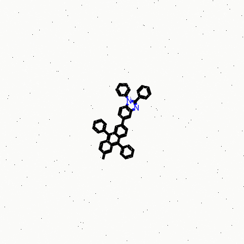 Cc1ccc2c(-c3ccccc3)c3cc(-c4ccc5c(c4)nc(-c4ccccc4)n5-c4ccccc4)ccc3c(-c3ccccc3)c2c1